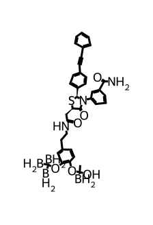 BC(B)(B)Oc1cc(CCNC(=O)C[C@H]2S[C@@H](c3ccc(C#Cc4ccccc4)cc3)N(c3cccc(C(N)=O)c3)C2=O)ccc1OC(B)(C)O